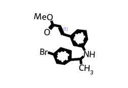 COC(=O)/C=C/c1cccc(NC(C)c2ccc(Br)cc2)c1